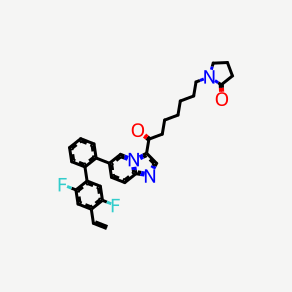 C=Cc1cc(F)c(-c2ccccc2-c2ccc3ncc(C(=O)CCCCCCN4CCCC4=O)n3c2)cc1F